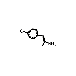 C/C(N)=C\c1ccc(Cl)cc1